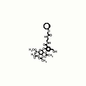 COC(=O)[C@H]1O[C@@H](Oc2ccc(CO)cc2C(=O)NCCNC(=O)COC2C#CCCCCC2)[C@H](OC(C)=O)[C@@H](OC(C)=O)[C@@H]1OC(C)=O